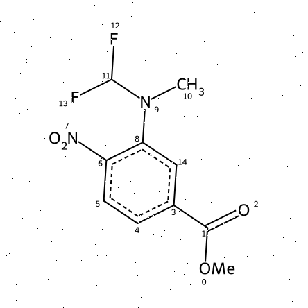 COC(=O)c1ccc([N+](=O)[O-])c(N(C)C(F)F)c1